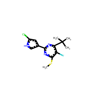 CSc1nc(-c2c[nH]c(Cl)c2)nc(C(C)(C)C)c1F